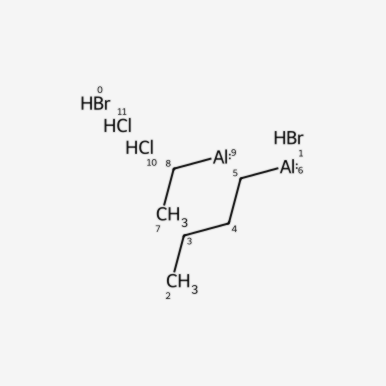 Br.Br.CCC[CH2][Al].C[CH2][Al].Cl.Cl